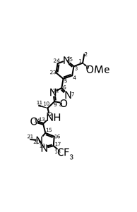 CO[C@H](C)c1cc(-c2noc([C@H](C)NC(=O)c3cc(C(F)(F)F)nn3C)n2)ccn1